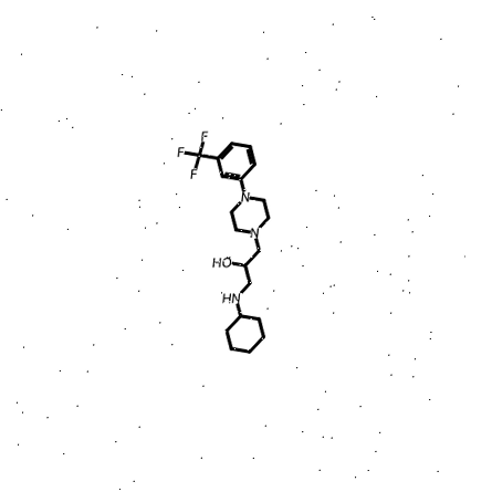 OC(CNC1CCCCC1)CN1CCN(c2cccc(C(F)(F)F)c2)CC1